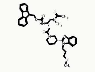 COCCCn1c([C@@H]2CCCN(C(=O)C[C@@H](CN(C)C(C)=O)NC(=O)OCC3c4ccccc4-c4ccccc43)C2)nc2ccccc21